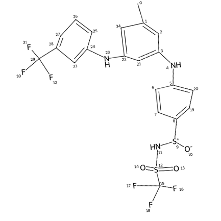 Cc1cc(Nc2ccc([S+]([O-])NS(=O)(=O)C(F)(F)F)cc2)cc(Nc2cccc(C(F)(F)F)c2)c1